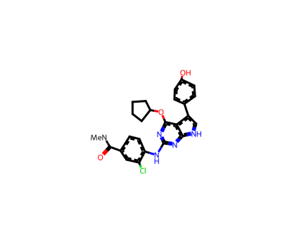 CNC(=O)c1ccc(Nc2nc(OC3CCCC3)c3c(-c4ccc(O)cc4)c[nH]c3n2)c(Cl)c1